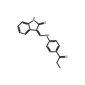 CCC(=O)c1ccc(N/C=C2\C(=O)Nc3ccccc32)cc1